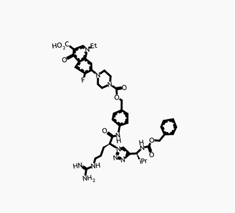 CCn1cc(C(=O)O)c(=O)c2cc(F)c(N3CCN(C(=O)OCc4ccc(NC(=O)[C@H](CCCNC(=N)N)n5cc([C@@H](NC(=O)OCc6ccccc6)C(C)C)nn5)cc4)CC3)cc21